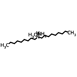 CCCCCCCCCNCCCCCCCCC.CN